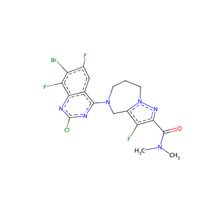 CN(C)C(=O)c1nn2c(c1F)CN(c1nc(Cl)nc3c(F)c(Br)c(F)cc13)CCC2